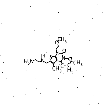 COCCn1c(=O)n(C2CC2(C)C)c(=O)c2c(C)c(CNCCN)sc21